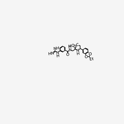 CCC1Oc2ccc(C(CC(=O)O)NC(=O)CNC(=O)c3cccc(NC(=N)N)c3)cc2O1